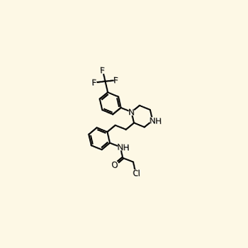 O=C(CCl)Nc1ccccc1CCC1CNCCN1c1cccc(C(F)(F)F)c1